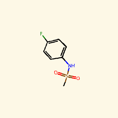 CS(=O)(=O)Nc1ccc(F)cc1